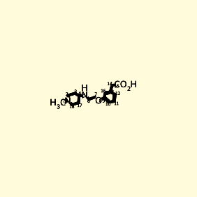 CN1CCC(NCCOc2cccc(CC(=O)O)c2)CC1